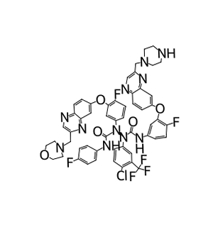 O=C(Nc1ccc(F)cc1)N(c1ccc(F)c(Oc2ccc3ncc(CN4CCOCC4)nc3c2)c1)N(C(=O)Nc1ccc(F)c(Oc2ccc3ncc(CN4CCNCC4)nc3c2)c1)c1ccc(Cl)c(C(F)(F)F)c1